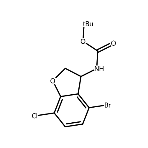 CC(C)(C)OC(=O)NC1COc2c(Cl)ccc(Br)c21